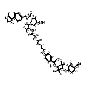 Cc1ncsc1-c1ccc(CNC(=O)[C@@H]2C[C@@H](O)CN2C(=O)[C@@H](NC(=O)COCCCCCNc2ccc(C(=O)N[C@H]3C(C)(C)[C@H](Oc4ccc(C#N)c(Cl)c4)C3(C)C)cc2)C(C)C)cc1